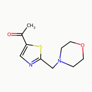 CC(=O)c1cnc(CN2CCOCC2)s1